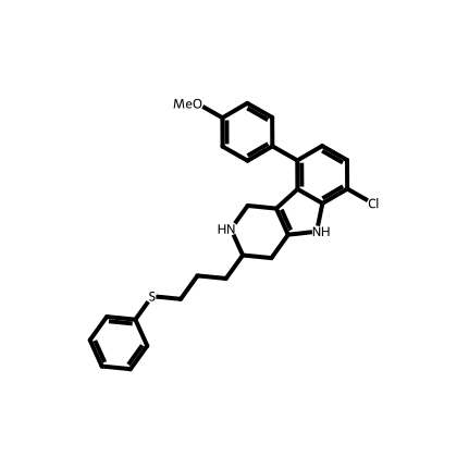 COc1ccc(-c2ccc(Cl)c3[nH]c4c(c23)CNC(CCCSc2ccccc2)C4)cc1